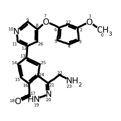 COc1cccc(Oc2cncc(-c3ccc4c(=O)[nH]nc(CN)c4c3)c2)c1